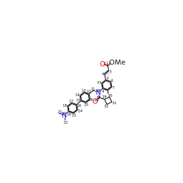 COC(=O)/C=C/c1cccc(N(Cc2ccc(-c3ccc(N(C)C)cc3)cc2)C(=O)C2CCC2)c1